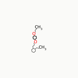 CCCCOc1ccc(OCCCC2CCCCC2CCC)cc1